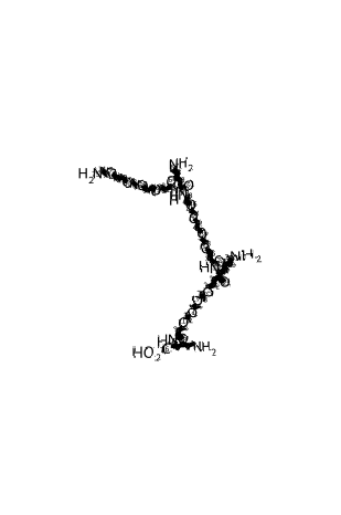 NCCCCC(NC(=O)CCOCCOCCOCCOCCCC(=O)C(CCCCN)NC(=O)CCOCCOCCOCCOCCNC(=O)C(CCCCN)NC(=O)CCOCCOCCOCCOCCN)C(=O)O